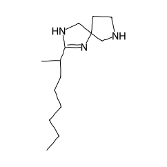 CCCCCCC(C)C1=NC2(CCNC2)CN1